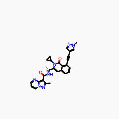 Cc1nn2cccnc2c1C(=O)N[C@H](C)c1cc2cccc(C#Cc3cnn(C)c3)c2c(=O)n1C1CC1